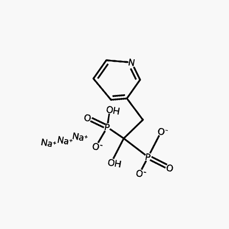 O=P([O-])([O-])C(O)(Cc1cccnc1)P(=O)([O-])O.[Na+].[Na+].[Na+]